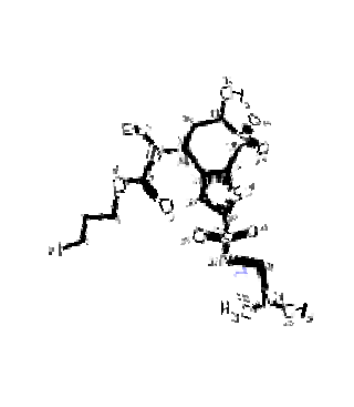 CCN(C(=O)OCCCI)[C@H]1CC(C)S(=O)(=O)c2sc(S(=O)(=O)/N=C/N(C)C)cc21